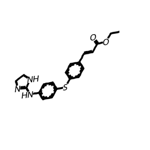 CCOC(=O)C=Cc1ccc(Sc2ccc(NC3=NCCN3)cc2)cc1